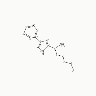 CCCCCC(N)c1nc(-c2ccccc2)c[nH]1